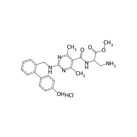 COC(=O)C(CN)NC(=O)c1c(C)nc(NCc2ccccc2-c2ccc(O)cc2)nc1C.Cl